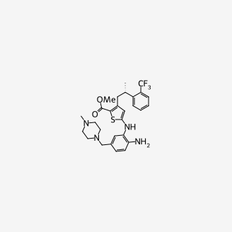 COC(=O)c1sc(Nc2cc(CN3CCN(C)CC3)ccc2N)cc1C[C@H](C)c1ccccc1C(F)(F)F